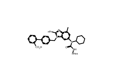 CCCCCCNC(=O)N(c1cc(C)c2nc(CCC)n(Cc3ccc(-c4ccccc4C(=O)O)cc3)c2c1)C1CCCCC1